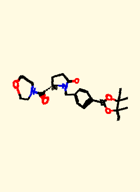 CC1(C)OB(c2ccc(CN3C(=O)CC[C@H]3C(=O)N3CCOCC3)cc2)OC1(C)C